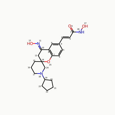 O=C(C=Cc1ccc2c(c1)C(=NO)CC1(CCCN(C3CCCC3)C1)O2)NO